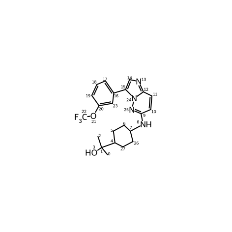 CC(C)(O)C1CCC(Nc2ccc3ncc(-c4cccc(OC(F)(F)F)c4)n3n2)CC1